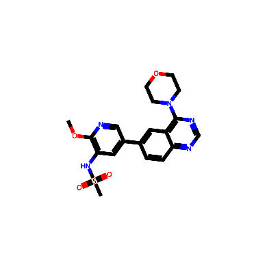 COc1ncc(-c2ccc3ncnc(N4CCOCC4)c3c2)cc1NS(C)(=O)=O